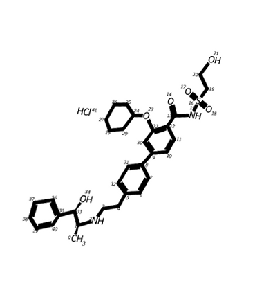 C[C@H](NCCc1ccc(-c2ccc(C(=O)NS(=O)(=O)CCO)c(OC3CCCCC3)c2)cc1)[C@H](O)c1ccccc1.Cl